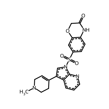 CN1CC=C(c2cn(S(=O)(=O)c3ccc4c(c3)OCC(=O)N4)c3ncccc23)CC1